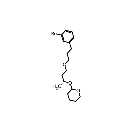 C[C@H](CCOCCCc1cccc(Br)c1)OC1CCCCO1